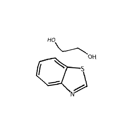 OCCO.c1ccc2scnc2c1